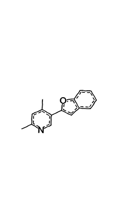 Cc1cc(C)c(-c2cc3ccccc3o2)cn1